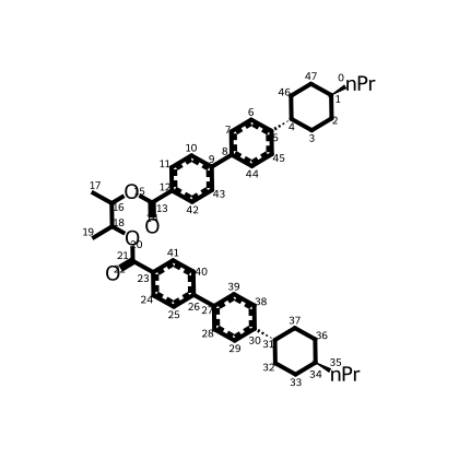 CCC[C@H]1CC[C@H](c2ccc(-c3ccc(C(=O)OC(C)C(C)OC(=O)c4ccc(-c5ccc([C@H]6CC[C@H](CCC)CC6)cc5)cc4)cc3)cc2)CC1